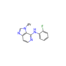 CC(C)n1cnc2ccnc(Nc3ccccc3F)c21